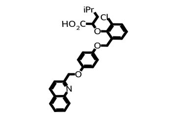 CC(C)CC(Oc1c(Cl)cccc1COc1ccc(OCc2ccc3ccccc3n2)cc1)C(=O)O